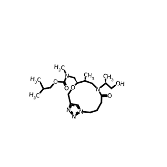 CC(C)COC(=O)N(C)C[C@@H]1OCc2cn(nn2)CCCC(=O)N([C@@H](C)CO)C[C@@H]1C